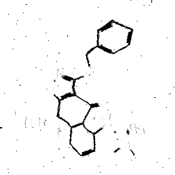 CC(C)(C)[Si](C)(C)OC1C=CC[C@H]2[C@H](N)c3onc(OCc4ccccc4)c3C(=O)[C@@]12O